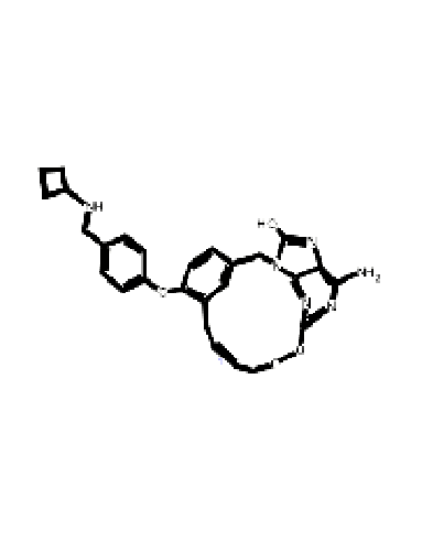 Nc1nc2nc3c1nc(O)n3Cc1ccc(Oc3ccc(CNC4CCC4)cc3)c(c1)C/C=C\CCO2